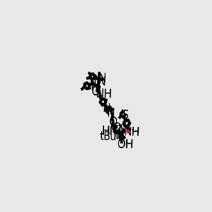 CC1=C(C)C2=C(C1)n1c(C)nnc1C(CC(=O)NCc1ccc(N3CCN(CCOCC(=O)N[C@H](C(=O)N4CC(O)CC4C(=O)N[C@@H](C)c4ccc(-c5sccc5C)cc4)C(C)(C)C)CC3)cc1)N=C2c1ccc(C)cc1